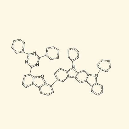 c1ccc(-c2nc(-c3ccccc3)nc(-c3cccc4c3oc3c(-c5ccc6c(c5)c5cc7c8ccccc8n(-c8ccccc8)c7cc5n6-c5ccccc5)cccc34)n2)cc1